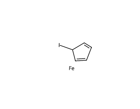 IC1C=CC=C1.[Fe]